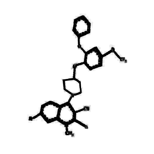 Cn1c(=O)c(C#N)c(N2CCC(Oc3ccc(OC(F)(F)F)cc3Oc3ccccc3)CC2)c2ccc(Br)cc21